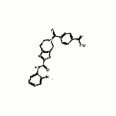 COC(=O)c1ccc(C(=O)N2CCc3nc(C(=O)Nc4ccccc4N)sc3C2)cc1